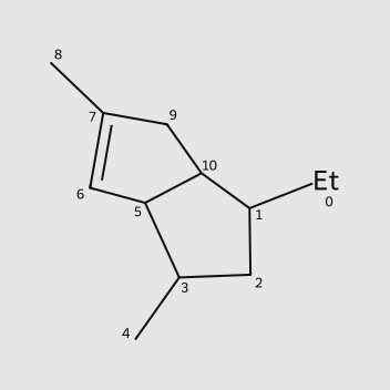 CCC1CC(C)C2C=C(C)CC12